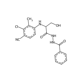 Cc1c(NC(CO)C(=O)NNC(=O)c2ccccc2)ccc(C#N)c1Cl